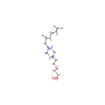 CC(C)=CCCC(C)CN1CCN(CCOCCO)CC1